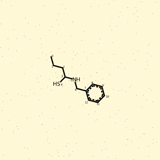 CCCC(S)NCc1ccccc1